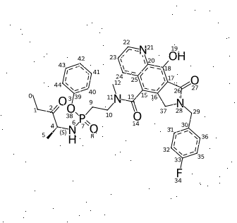 CCC(=O)[C@H](C)NP(=O)(CCN(C)C(=O)c1c2c(c(O)c3ncccc13)C(=O)N(Cc1ccc(F)cc1)C2)Oc1ccccc1